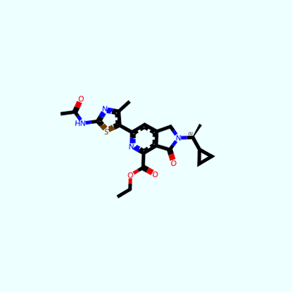 CCOC(=O)c1nc(-c2sc(NC(C)=O)nc2C)cc2c1C(=O)N([C@@H](C)C1CC1)C2